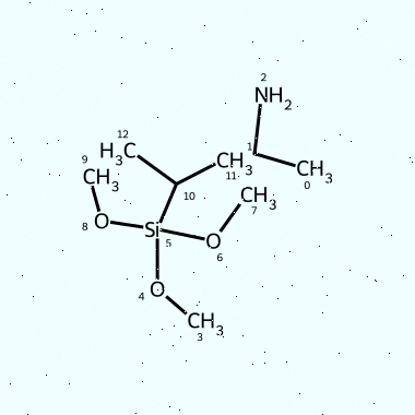 CCN.CO[Si](OC)(OC)C(C)C